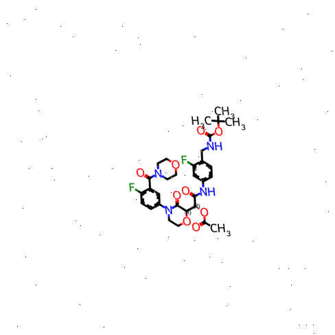 CC(=O)O[C@@H](C(=O)Nc1ccc(CNC(=O)OC(C)(C)C)c(F)c1)[C@H]1OCCN(c2ccc(F)c(C(=O)N3CCOCC3)c2)C1=O